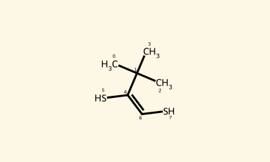 CC(C)(C)/C(S)=C\S